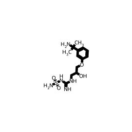 CC(C)(N)c1cccc(OCC(O)CNC(=N)NS(N)(=O)=O)c1